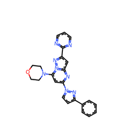 c1ccc(-c2ccn(-c3cc(N4CCOCC4)n4nc(-c5ncccn5)cc4n3)n2)cc1